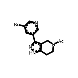 CC(=O)N1CCc2[nH]nc(-c3cncc(Br)c3)c2C1